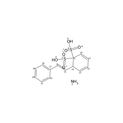 N.O=S(=O)(O)C1(S(=O)(=O)O)C=CC=CC1C=Cc1ccccc1